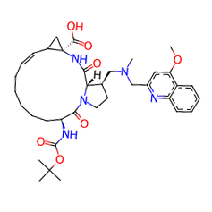 COc1cc(CN(C)C[C@H]2CCN3C(=O)[C@@H](NC(=O)OC(C)(C)C)CCCCC/C=C\C4C[C@@]4(C(=O)O)NC(=O)[C@H]23)nc2ccccc12